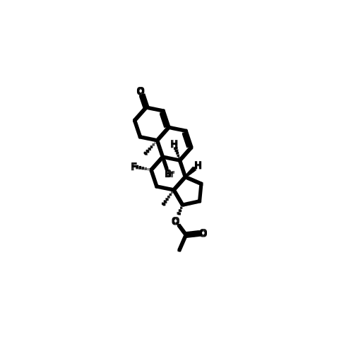 CC(=O)O[C@H]1CC[C@H]2[C@@H]3C=CC4=CC(=O)CC[C@]4(C)C3(Br)[C@@H](F)C[C@]12C